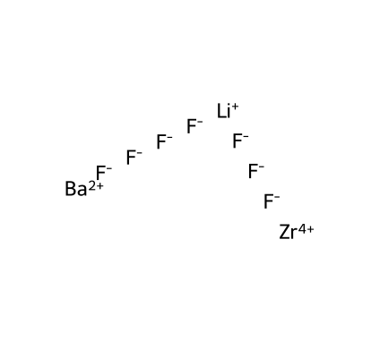 [Ba+2].[F-].[F-].[F-].[F-].[F-].[F-].[F-].[Li+].[Zr+4]